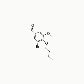 CCCCOc1c(Br)cc(C=O)cc1OC